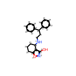 Oc1noc2c1C(NCCC(c1ccccc1)c1ccccc1)CCC2